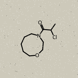 CC(Cl)C(=O)N1CCCCCOCC1